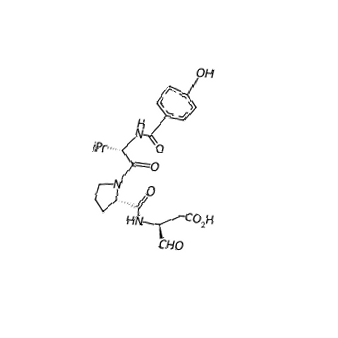 CC(C)[C@H](NC(=O)c1ccc(O)cc1)C(=O)N1CCC[C@H]1C(=O)N[C@H](C=O)CC(=O)O